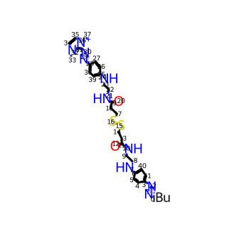 CCC(C)/N=N/c1ccc(NCCNC(=O)CCSSCCC(=O)NCCNc2ccc(/N=N/c3n(C)cc[n+]3C)cc2)cc1